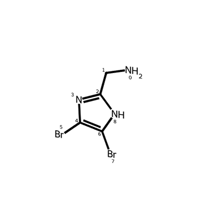 NCc1nc(Br)c(Br)[nH]1